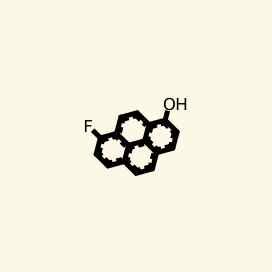 Oc1ccc2ccc3ccc(F)c4ccc1c2c34